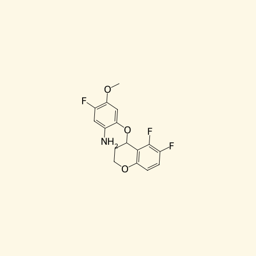 COc1cc(OC2CCOc3ccc(F)c(F)c32)c(N)cc1F